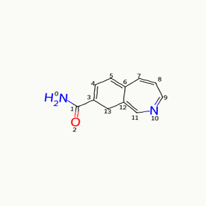 NC(=O)C1=CC=C2C=CC=NC=C2C1